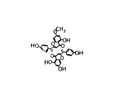 COc1cc(O)c2c(=O)cc(Sc3ccc(O)cc3)oc2c1.O=c1cc(Sc2ccc(O)cc2)oc2cc(O)cc(O)c12